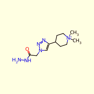 C[N+]1(C)CCC(c2cn(CC(=O)NN)nn2)CC1